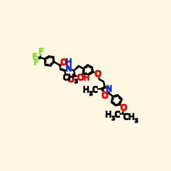 C/C(=C/C(=O)c1ccc(C(F)(F)F)cc1)N[C@@H](Cc1ccc(OCCc2nc(-c3ccc(OC(C)C)cc3)oc2C)cc1)C(=O)O